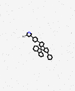 N#Cc1cncc(-c2ccc(-c3ccc4c(c3)C3(c5ccccc5-c5ccccc53)c3cc(-c5ccccc5)ccc3-4)cc2)c1